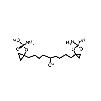 NP(=O)(O)OC1(CCCCC(O)CCCCC2(OP(N)(=O)O)CC2)CC1